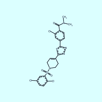 CN(C)C(=O)c1ccc(-c2nnc(C3=CCN(S(=O)(=O)c4cc(Cl)ccc4Cl)CC3)s2)cc1Cl